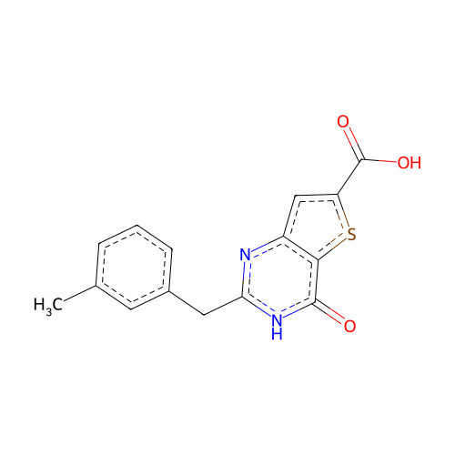 Cc1cccc(Cc2nc3cc(C(=O)O)sc3c(=O)[nH]2)c1